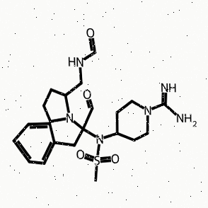 CS(=O)(=O)N(C1CCN(C(=N)N)CC1)C(C=O)(Cc1ccccc1)N1CCCC1CNC=O